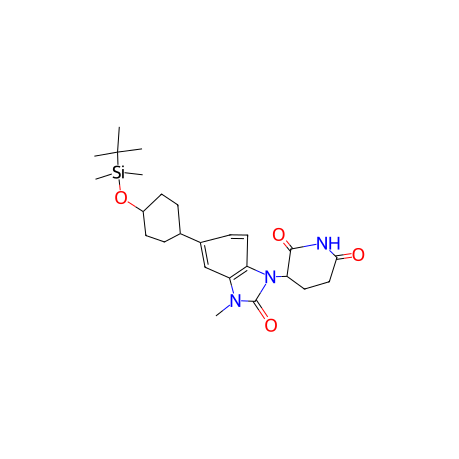 Cn1c(=O)n(C2CCC(=O)NC2=O)c2ccc(C3CCC(O[Si](C)(C)C(C)(C)C)CC3)cc21